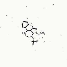 CCn1nc(C)c2c1N(CC(F)(F)F)CCNC2c1ccccc1